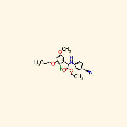 CCCOc1cc(OC)cc(C(Nc2ccc(C#N)cc2)C(=O)OCC)c1F